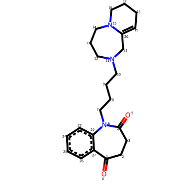 O=C1CCC(=O)N(CCCCN2CCCN3CCCC=C3C2)c2ccccc21